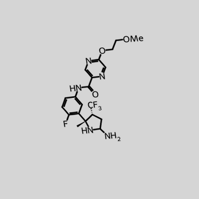 COCCOc1cnc(C(=O)Nc2ccc(F)c([C@@]3(C)NC(N)C[C@H]3C(F)(F)F)c2)cn1